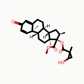 COC(=O)[C@@]1(OC(=O)C2(C)CC2O)[C@H](C)C[C@H]2[C@@H]3CCC4=CC(=O)C=C[C@]4(C)[C@H]3CC[C@@]21C